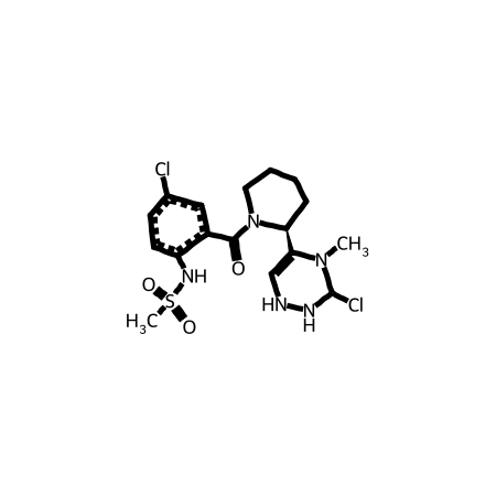 CN1C([C@@H]2CCCCN2C(=O)c2cc(Cl)ccc2NS(C)(=O)=O)=CNNC1Cl